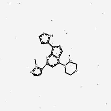 C[C@@H]1COCCN1c1cc(-c2ccnn2C)nc2c(-c3ccn[nH]3)ncn12